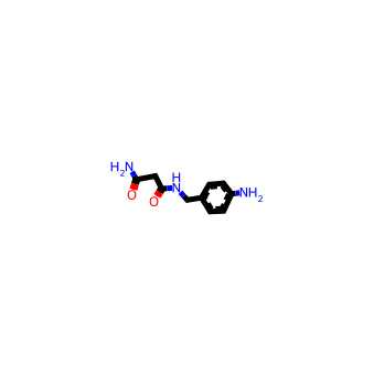 NC(=O)CC(=O)NCc1ccc(N)cc1